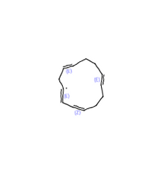 [C]1=C/C=C\CC/C=C/CC/C=C/C/1